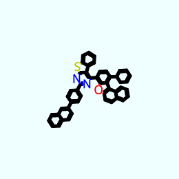 C1=CCC(c2ccc(-c3nc(-c4ccc(-c5ccc6ccccc6c5)cc4)nc4sc5ccccc5c34)c3oc4ccc5ccccc5c4c23)C=C1